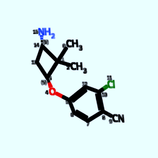 CC1(C)[C@@H](Oc2ccc(C#N)c(Cl)c2)C[C@@H]1N